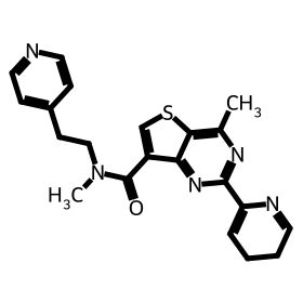 Cc1nc(C2=CCCC=N2)nc2c(C(=O)N(C)CCc3ccncc3)csc12